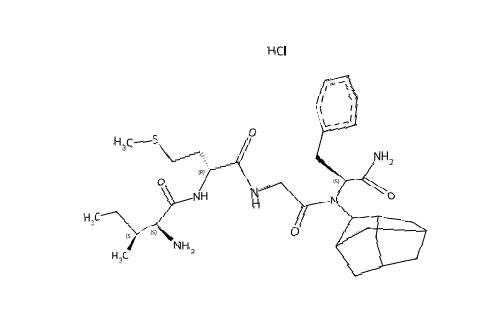 CC[C@H](C)[C@H](N)C(=O)N[C@H](CCSC)C(=O)NCC(=O)N(C1C2CC3CC(C2)CC1C3)[C@@H](Cc1ccccc1)C(N)=O.Cl